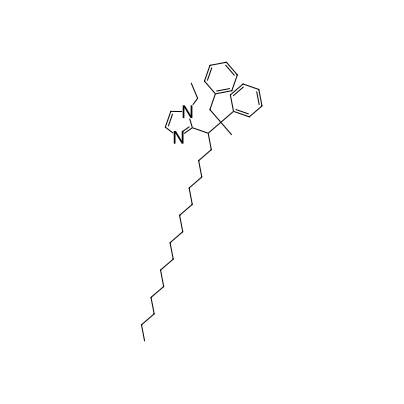 CCCCCCCCCCCCCCCC(c1nccn1CC)C(C)(Cc1ccccc1)c1ccccc1